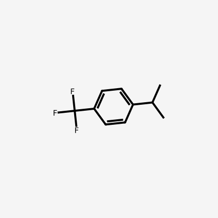 CC(C)c1ccc(C(F)(F)F)cc1